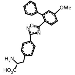 COc1ccc(-c2nc(-c3ccc(C[C@H](N)C(=O)O)cc3)no2)c(-c2ccccc2)c1